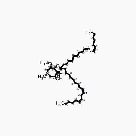 CCCCC/C=C\C/C=C\CCCCCCCCC1(CCCCCCCC/C=C\C/C=C\CCCCC)O[C@@H]2C(OC)CN(C)CC(O)[C@@H]2O1